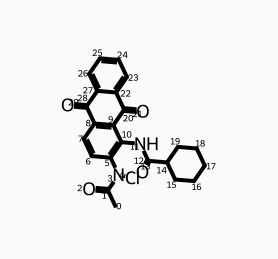 CC(=O)N(Cl)c1ccc2c(c1NC(=O)C1CCCCC1)C(=O)c1ccccc1C2=O